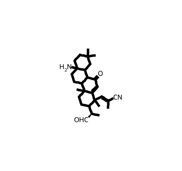 C/C(C#N)=C\C1(C)C2=CC(=O)C3C4CC(C)(C)CCC4(N)CCC3C2(C)CCC1[C@@H](C)C=O